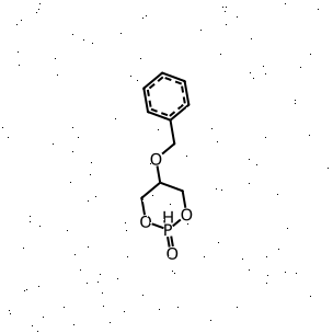 O=[PH]1OCC(OCc2ccccc2)CO1